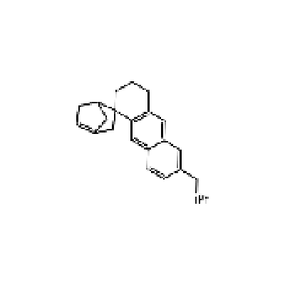 CC(C)Cc1ccc2cc3c(cc2c1)CCCC31CC2=CCC1C2